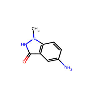 Cn1[nH]c(=O)c2cc(N)ccc21